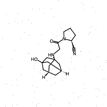 N#C[C@@H]1CCCN1C(=O)CN[C@@]12C[C@@H]3C[C@@H](CC(O)(C3)C1)C2